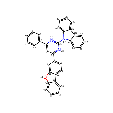 c1ccc(-c2cc(-c3ccc4c(c3)oc3ccccc34)nc(-n3c4ccccc4c4ccccc43)n2)cc1